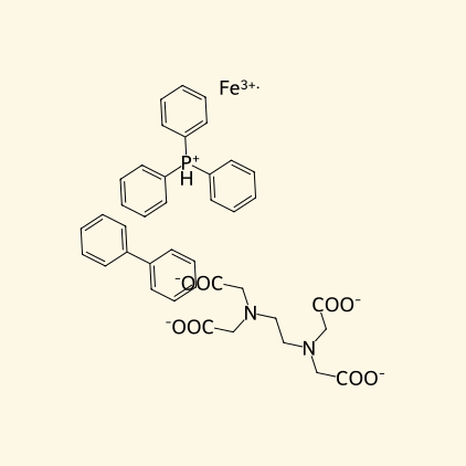 O=C([O-])CN(CCN(CC(=O)[O-])CC(=O)[O-])CC(=O)[O-].[Fe+3].c1ccc(-c2ccccc2)cc1.c1ccc([PH+](c2ccccc2)c2ccccc2)cc1